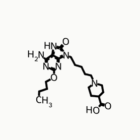 CCCCOc1nc(N)c2[nH]c(=O)n(CCCCCN3CCC(C(=O)O)CC3)c2n1